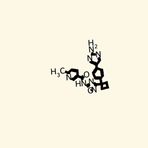 Cc1ccc(C(=O)Nc2nc(C3(c4ccc(-c5cnc(N)nc5)cc4)CCC3)no2)cn1